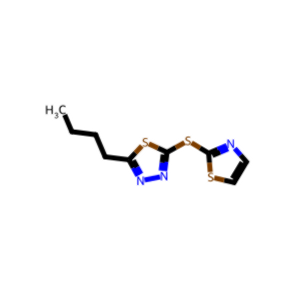 CCCCc1nnc(Sc2nccs2)s1